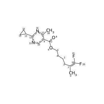 CC(CCCCOC(=O)c1cnc(C2CC2)nc1C)=C(F)F